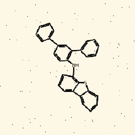 c1ccc(-c2ccc(Nc3cccc4c3sc3ccccc34)c(-c3ccccc3)c2)cc1